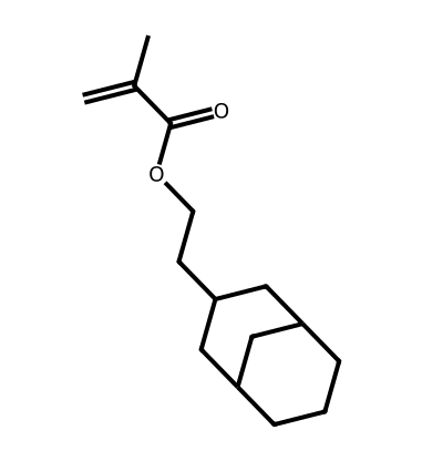 C=C(C)C(=O)OCCC1CC2CCCC(C2)C1